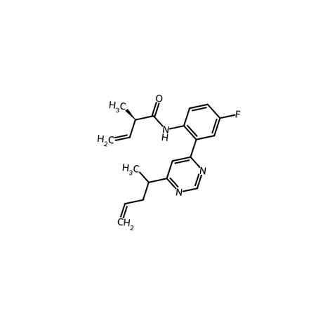 C=CCC(C)c1cc(-c2cc(F)ccc2NC(=O)[C@H](C)C=C)ncn1